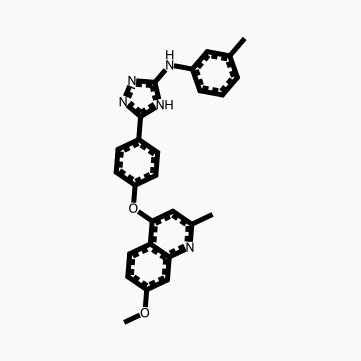 COc1ccc2c(Oc3ccc(-c4nnc(Nc5cccc(C)c5)[nH]4)cc3)cc(C)nc2c1